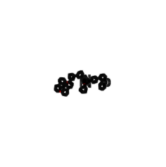 c1ccc(-c2nc(-c3ccc(-c4cccc5oc6ccccc6c45)cc3)nc(-c3cccc(-c4cccc(-c5ccc6c(c5)C5(c7ccccc7-c7ccccc75)c5ccccc5-6)c4)c3)n2)cc1